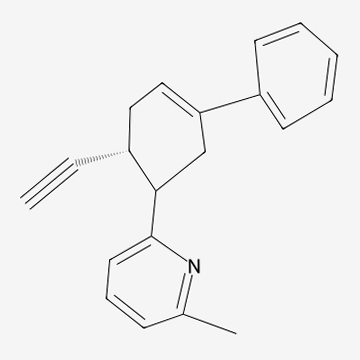 C#C[C@@H]1CC=C(c2ccccc2)CC1c1cccc(C)n1